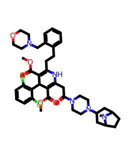 COC(=O)C1=C(CCc2ccccc2CN2CCOCC2)NC(CC(=O)N2CCN(C3CC4CCC(C3)N4C)CC2)=C(C(=O)OC)C1c1c(Cl)cccc1Cl